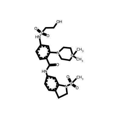 C[Si]1(C)CCN(c2cc(NS(=O)(=O)CCO)ccc2C(=O)Nc2ccc3c(c2)N(S(C)(=O)=O)CC3)CC1